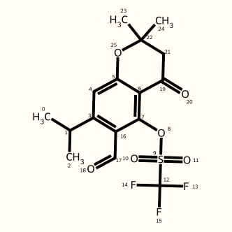 CC(C)c1cc2c(c(OS(=O)(=O)C(F)(F)F)c1C=O)C(=O)CC(C)(C)O2